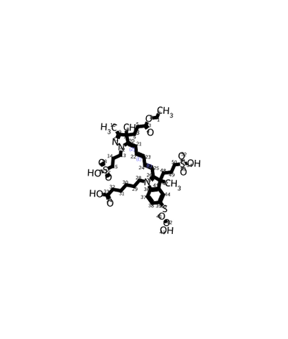 CCOC(=O)CCC1(C)C(C)=NN(CCCS(=O)(=O)O)\C1=C/C=C/C=C/C1=[N+](CCCCCC(=O)O)c2ccc(SOOO)cc2C1(C)CCCS(=O)(=O)O